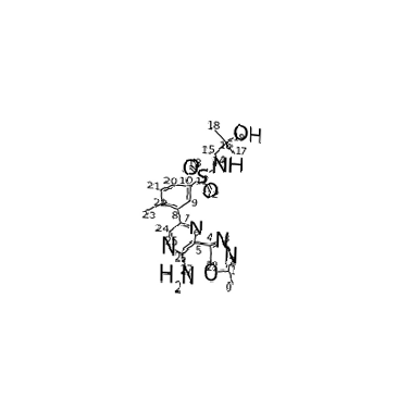 Cc1nnc(-c2nc(-c3cc(S(=O)(=O)NCC(C)(C)O)ccc3C)cnc2N)o1